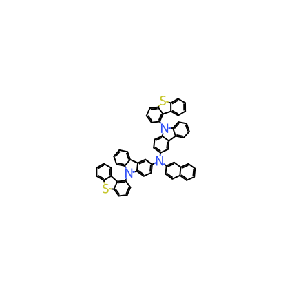 c1ccc2cc(N(c3ccc4c(c3)c3ccccc3n4-c3cccc4sc5ccccc5c34)c3ccc4c(c3)c3ccccc3n4-c3cccc4sc5ccccc5c34)ccc2c1